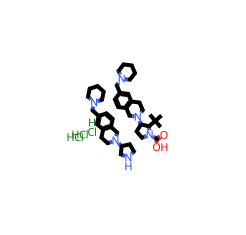 CC(C)(C)C1C(N2CCc3cc(CN4CCCCC4)ccc3C2)CCN1C(=O)O.Cl.Cl.Cl.c1cc2c(cc1CN1CCCCC1)CCN(C1CCNC1)C2